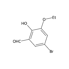 CCOc1cc(Br)cc(C=O)c1O